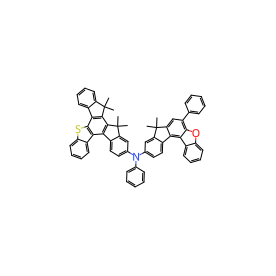 CC1(C)c2cc(N(c3ccccc3)c3ccc4c(c3)C(C)(C)c3c5c(c6sc7ccccc7c6c3-4)-c3ccccc3C5(C)C)ccc2-c2c1cc(-c1ccccc1)c1oc3ccccc3c21